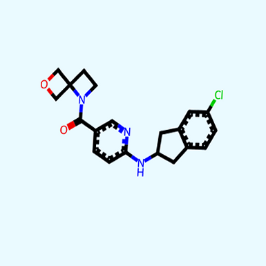 O=C(c1ccc(NC2Cc3ccc(Cl)cc3C2)nc1)N1CCC12COC2